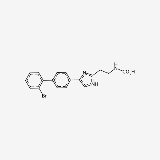 O=C(O)NCCc1nc(-c2ccc(-c3ccccc3Br)cc2)c[nH]1